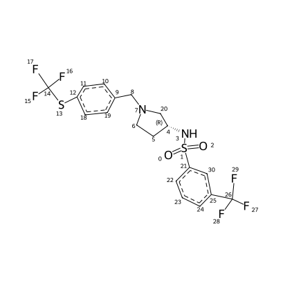 O=S(=O)(N[C@@H]1CCN(Cc2ccc(SC(F)(F)F)cc2)C1)c1cccc(C(F)(F)F)c1